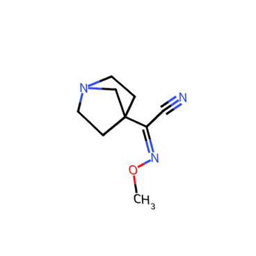 CO/N=C(/C#N)C12CCN(CC1)C2